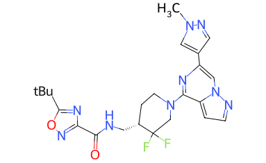 Cn1cc(-c2cn3nccc3c(N3CC[C@@H](CNC(=O)c4noc(C(C)(C)C)n4)C(F)(F)C3)n2)cn1